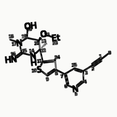 CC#Cc1cncc(-c2csc([C@@]3(C)NC(=N)N(C)C(O)[C@H]3OCC)c2)c1